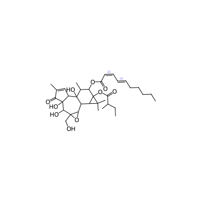 CCCCC/C=C/C=C\C(=O)OC1C(C)C2(O)C(C3OC3(CO)C(O)C3(O)C(=O)C(C)=CC32)C2C(C)(C)C12OC(=O)C(C)CC